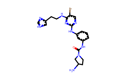 NC1CCN(C(=O)Nc2cccc(Nc3ncc(Br)c(NCCc4c[nH]cn4)n3)c2)C1